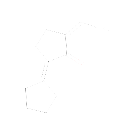 CC(C)(C)C=C1CCC(=C2CCCC2)C1=O